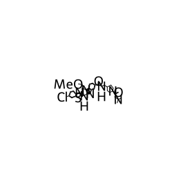 COCCn1c(Nc2nc3ccc(Cl)cc3s2)nc2cc(C(=O)NCC3CCN(C(=O)CN(C)C)CC3)ccc21